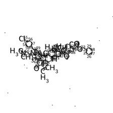 CC(C)C1=C2[C@H]3CC[C@@H]4[C@@]5(C)CC[C@H](OC(=O)[C@H]6C[C@@H](C(=O)OCc7ccccc7)C6(C)C)C(C)(C)[C@@H]5CC[C@@]4(C)[C@]3(C)CC[C@@]2(Cc2ncc(-c3ccc(Cl)cc3)n2CCN(C)C)CC1=O